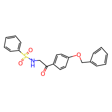 O=C(CNS(=O)(=O)c1ccccc1)c1ccc(OCc2ccccc2)cc1